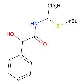 CCCCSC(NC(=O)C(O)c1ccccc1)C(=O)O